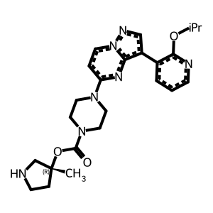 CC(C)Oc1ncccc1-c1cnn2ccc(N3CCN(C(=O)O[C@]4(C)CCNC4)CC3)nc12